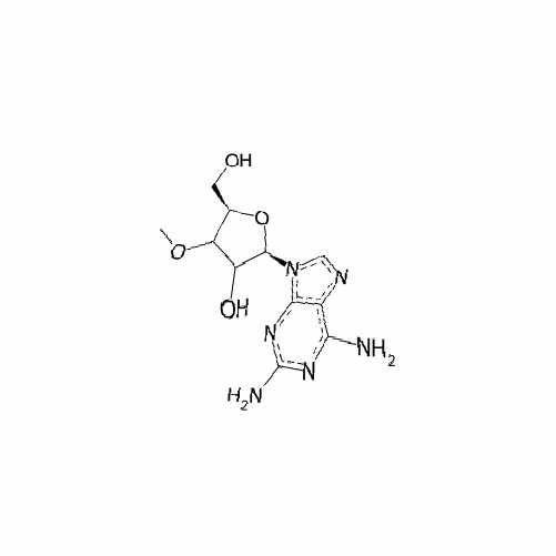 COC1C(O)[C@H](n2cnc3c(N)nc(N)nc32)O[C@@H]1CO